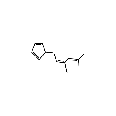 CC(C)=CC(C)=[CH][Ti][CH]1C=CC=C1